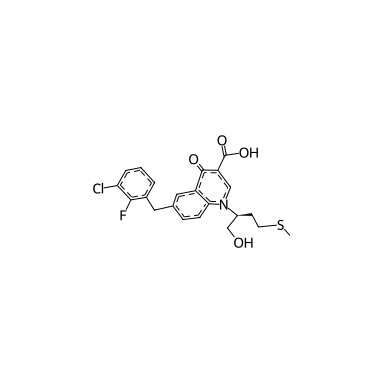 CSCC[C@@H](CO)n1cc(C(=O)O)c(=O)c2cc(Cc3cccc(Cl)c3F)ccc21